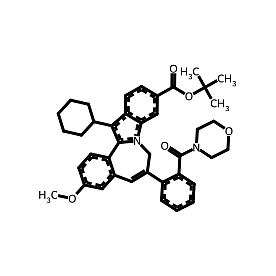 COc1ccc2c(c1)C=C(c1ccccc1C(=O)N1CCOCC1)Cn1c-2c(C2CCCCC2)c2ccc(C(=O)OC(C)(C)C)cc21